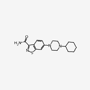 NC(=O)c1nsc2cc(N3CCN(C4CCCCC4)CC3)ccc12